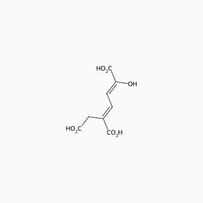 O=C(O)C/C(=C\C=C(/O)C(=O)O)C(=O)O